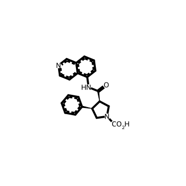 O=C(Nc1cccc2cnccc12)[C@H]1CN(C(=O)O)C[C@H]1c1ccccc1